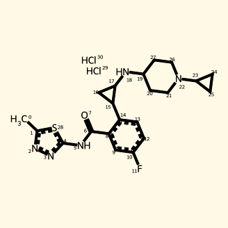 Cc1nnc(NC(=O)c2cc(F)ccc2C2CC2NC2CCN(C3CC3)CC2)s1.Cl.Cl